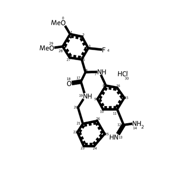 COc1cc(F)c(C(Nc2ccc(C(=N)N)cc2)C(=O)NCc2ccccc2)cc1OC.Cl